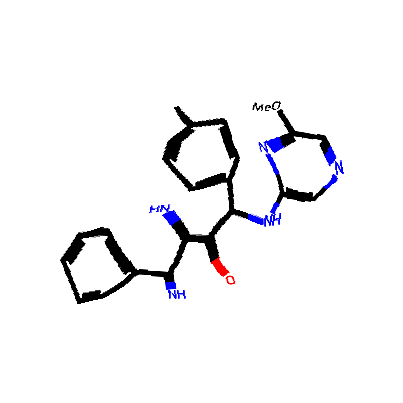 COc1cncc(NC(C(=O)C(=N)C(=N)c2ccccc2)c2ccc(C)cc2)n1